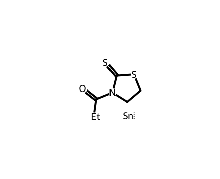 CCC(=O)N1CCSC1=S.[Sn]